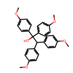 COc1ccc(C(c2ccc(OC)cc2)C(O)(c2ccc(OC)cc2)c2ccc(OC)cc2)cc1